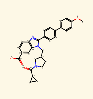 COc1ccc(-c2ccc(-c3nc4ccc(C(=O)O)cc4n3C[C@H]3CCN(C(=O)C4CC4)C3)cc2)cc1